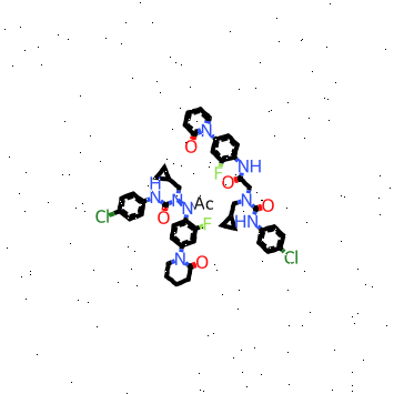 CC(=O)N(c1ccc(N2CCCCC2=O)cc1F)N(CC1CC1)C(=O)Nc1ccc(Cl)cc1.O=C(CN(CC1CC1)C(=O)Nc1ccc(Cl)cc1)Nc1ccc(-n2ccccc2=O)cc1F